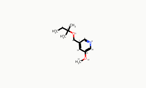 CCC(C)(C)OCc1cncc(OC)c1